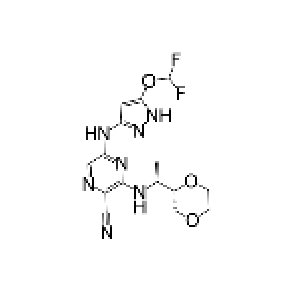 C[C@H](Nc1nc(Nc2cc(OC(F)F)[nH]n2)cnc1C#N)[C@H]1COCCO1